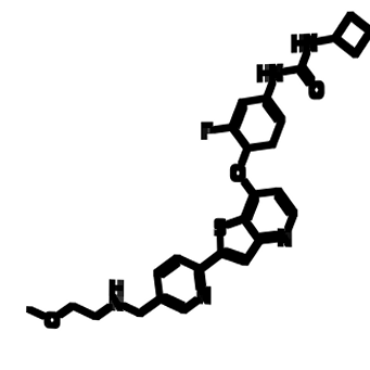 COCCNCc1ccc(-c2cc3nccc(OC4CC=C(NC(=O)NC5CCC5)C=C4F)c3s2)nc1